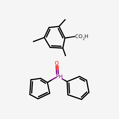 Cc1cc(C)c(C(=O)O)c(C)c1.O=[PH](c1ccccc1)c1ccccc1